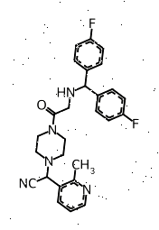 Cc1ncccc1C(C#N)N1CCN(C(=O)CNC(c2ccc(F)cc2)c2ccc(F)cc2)CC1